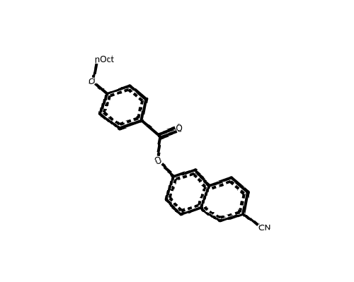 CCCCCCCCOc1ccc(C(=O)Oc2ccc3cc(C#N)ccc3c2)cc1